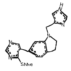 CSc1ncncc1-c1ccc2c(c1)N(Cc1c[nH]cn1)CC2